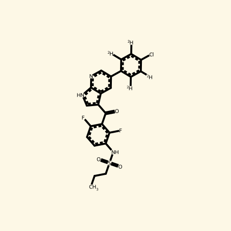 [2H]c1c([2H])c(-c2cnc3[nH]cc(C(=O)c4c(F)ccc(NS(=O)(=O)CCC)c4F)c3c2)c([2H])c([2H])c1Cl